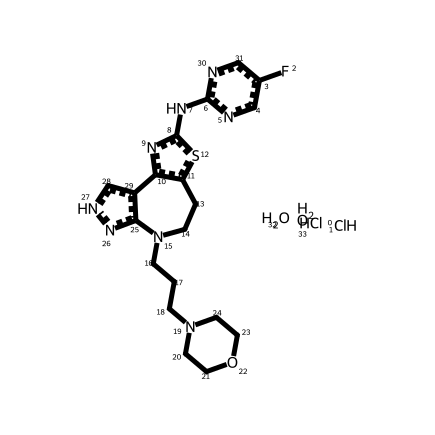 Cl.Cl.Fc1cnc(Nc2nc3c(s2)CCN(CCCN2CCOCC2)c2n[nH]cc2-3)nc1.O.O